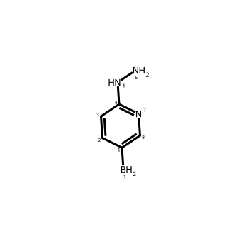 Bc1ccc(NN)nc1